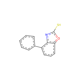 Sc1nc2c(-c3ccccc3)cccc2o1